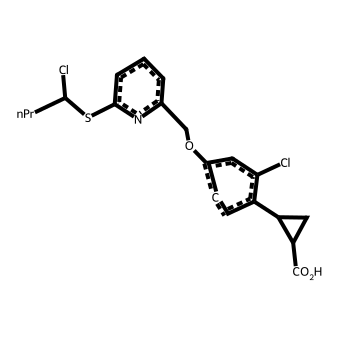 CCCC(Cl)Sc1cccc(COc2ccc(C3CC3C(=O)O)c(Cl)c2)n1